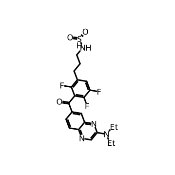 CCN(CC)c1cnc2ccc(C(=O)c3c(F)c(F)cc(CCCN[SH](=O)=O)c3F)cc2n1